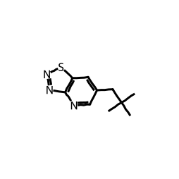 CC(C)(C)Cc1cnc2nnsc2c1